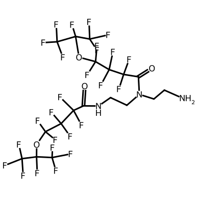 NCCN(CCNC(=O)C(F)(F)C(F)(F)C(F)(F)OC(F)(C(F)(F)F)C(F)(F)F)C(=O)C(F)(F)C(F)(F)C(F)(F)OC(F)(C(F)(F)F)C(F)(F)F